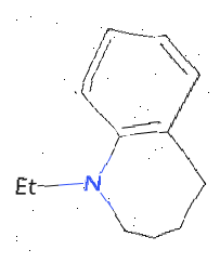 CCN1CCCc2ccc[c]c21